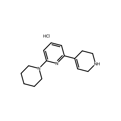 C1=C(c2cccc(N3CCCCC3)n2)CCNC1.Cl